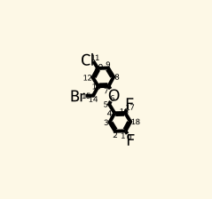 Fc1ccc(COc2ccc(Cl)cc2CBr)c(F)c1